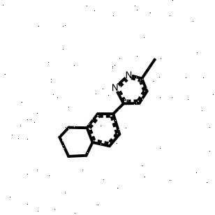 Cc1ccc(-c2ccc3c(c2)[CH]CCC3)nn1